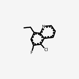 CCc1cc(F)c(Cl)c2cccnc12